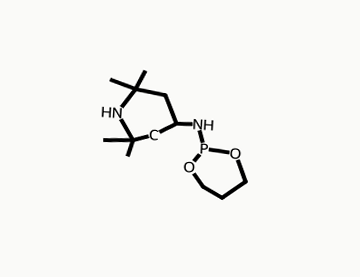 CC1(C)CC(NP2OCCCO2)CC(C)(C)N1